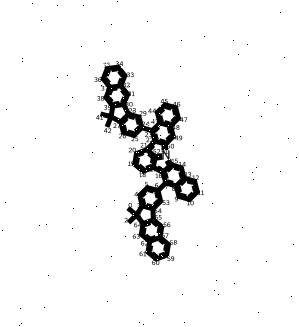 CC1(C)c2ccc(-c3c4ccccc4cc4c3c3cccc5c6c(-c7ccc8c(c7)-c7cc9ccccc9cc7C8(C)C)c7ccccc7cc6n4c35)cc2-c2cc3ccccc3cc21